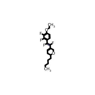 CCCCCC1CC=C(/C(F)=C(\F)c2ccc(OCC)c(F)c2F)CO1